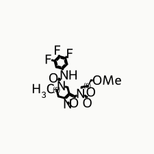 COC[C@@H]1CN(c2onc3c2CN(C(=O)Nc2cc(F)c(F)c(F)c2)[C@@H](C)C3)C(=O)O1